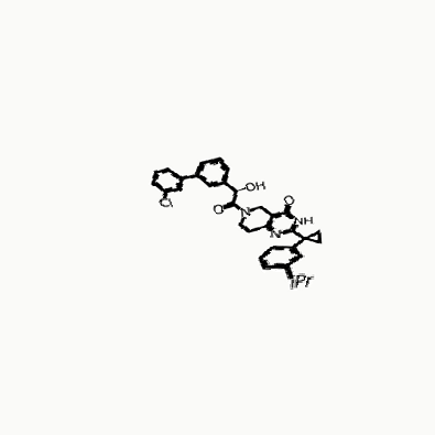 CC(C)c1cccc(C2(c3nc4c(c(=O)[nH]3)CN(C(=O)[C@H](O)c3cccc(-c5cccc(Cl)c5)c3)CC4)CC2)c1